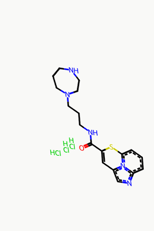 Cl.Cl.Cl.O=C(NCCCN1CCCNCC1)C1=Cc2cnc3cccc(n23)S1